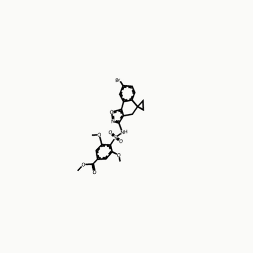 COC(=O)c1cc(OC)c(S(=O)(=O)Nc2noc3c2CC2(CC2)c2ccc(Br)cc2-3)c(OC)c1